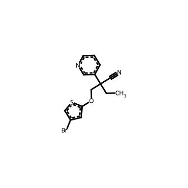 CCC(C#N)(COc1cc(Br)cs1)c1cccnc1